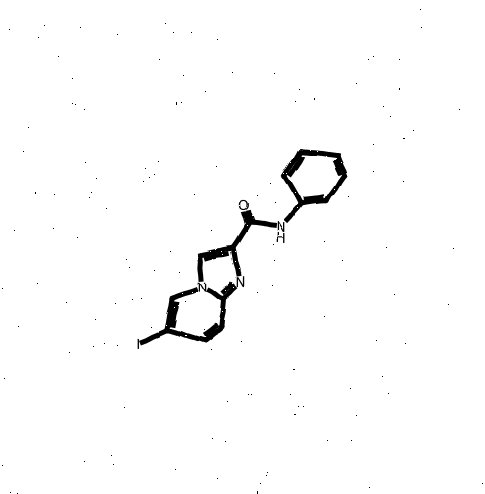 O=C(Nc1ccccc1)c1cn2cc(I)ccc2n1